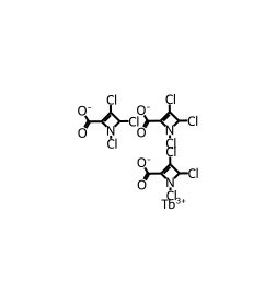 O=C([O-])C1=C(Cl)C(Cl)N1Cl.O=C([O-])C1=C(Cl)C(Cl)N1Cl.O=C([O-])C1=C(Cl)C(Cl)N1Cl.[Tb+3]